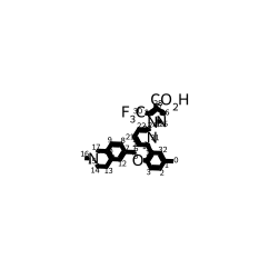 Cc1ccc(OCc2ccc3c(c2)CCN(C)C3)c(-c2cccc(-n3ncc(C(=O)O)c3C(F)(F)F)n2)c1